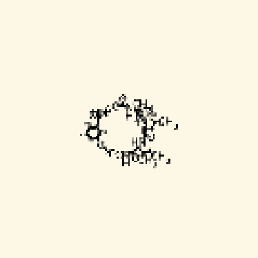 CC[C@H](C)[C@@H]1NC(=O)[C@H](CC(C)C)NC(=O)C(C)(C)NC(=O)CCNC(=O)c2cccc(c2)CSCCNC1=O